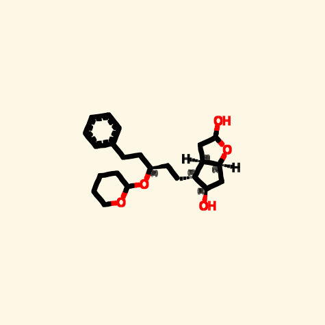 OC1C[C@@H]2[C@@H](CC[C@H](CCc3ccccc3)OC3CCCCO3)[C@H](O)C[C@@H]2O1